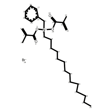 C=C(C)C(=O)O[N+](CCCCCCCCCCCCCC)(Cc1ccccc1)OC(=O)C(=C)C.[Br-]